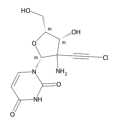 NC1(C#CCl)[C@@H](O)[C@@H](CO)O[C@H]1n1ccc(=O)[nH]c1=O